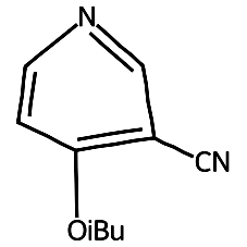 CC(C)COc1ccncc1C#N